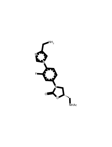 CC(=O)NC[C@H]1CN(c2ccc(-n3cnc(CN)c3)c(F)c2)C(=O)O1